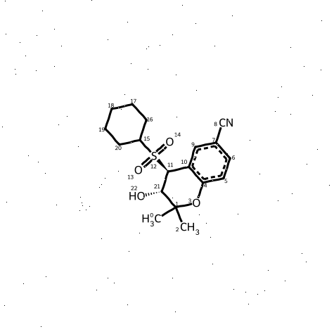 CC1(C)Oc2ccc(C#N)cc2[C@H](S(=O)(=O)C2CCCCC2)[C@H]1O